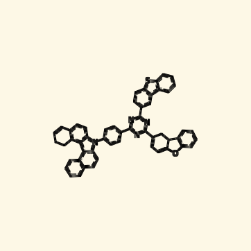 C1=Cc2ccc3c(c2CC1)c1c2ccccc2ccc1n3-c1ccc(-c2nc(C3=CC=C4Oc5ccccc5C4C3)nc(-c3ccc4sc5ccccc5c4c3)n2)cc1